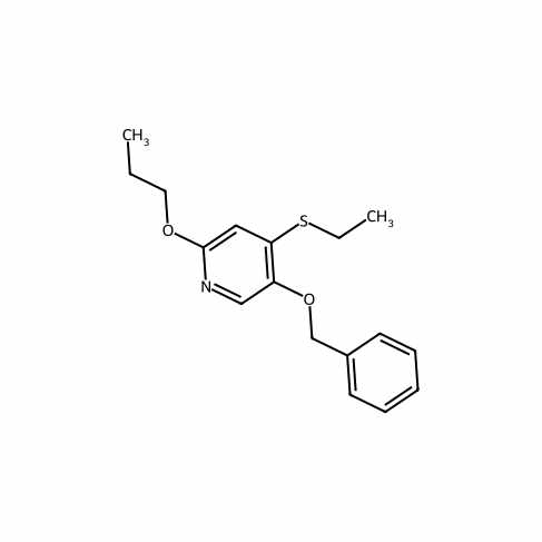 CCCOc1cc(SCC)c(OCc2ccccc2)cn1